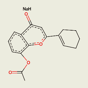 CC(=O)Oc1cccc2c(=O)cc(C3=CCCCC3)oc12.[NaH]